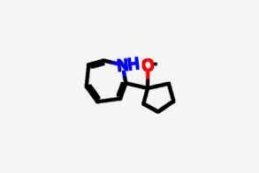 [O]C1(C2=CC=CC=CN2)CCCC1